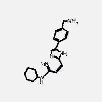 N=C(/C=C\c1ncc(-c2ccc(CN)cc2)[nH]1)NC1CCCCC1